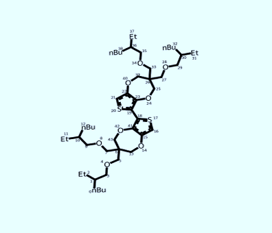 CCCCC(CC)COCC1(COCC(CC)CCCC)COc2csc(-c3scc4c3OCC(COCC(CC)CCCC)(COCC(CC)CCCC)CO4)c2OC1